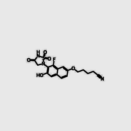 N#CCCCCOc1ccc2cc(O)c(N3CC(=O)NS3(=O)=O)c(F)c2c1